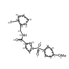 COc1ccc(S(=O)(=O)n2ccc(C(=O)NCc3ncccc3F)n2)cc1